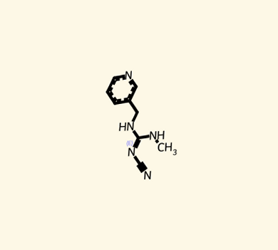 CN/C(=N\C#N)NCc1cccnc1